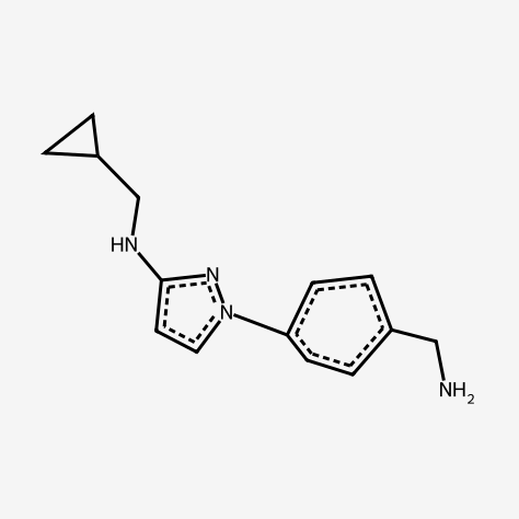 NCc1ccc(-n2ccc(NCC3CC3)n2)cc1